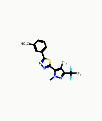 Cn1nc(C(F)(F)C(F)(F)F)c(C(F)(F)F)c1-c1nnc(-c2cccc(C(=O)O)c2)s1